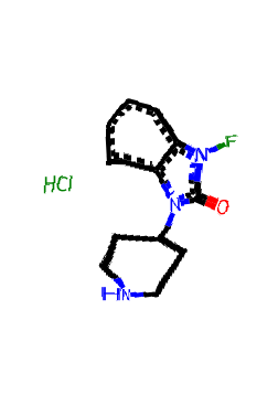 Cl.O=c1n(F)c2ccccc2n1C1CCNCC1